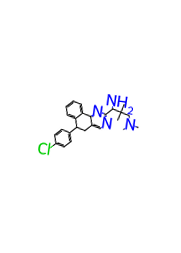 CN(C)CC(C)(C)C(N)c1ncc2c(n1)-c1ccccc1C(c1ccc(Cl)cc1)C2